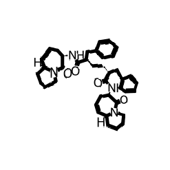 O=C(N[C@H]1CC=C[C@H]2CCCCN2C1=O)[C@H](CC[C@H](Cc1ccccc1)C(=O)N[C@H]1CC=C[C@H]2CCCCN2C1=O)Cc1ccccc1